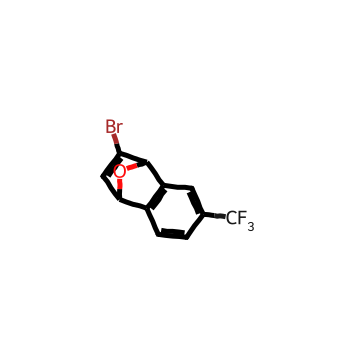 FC(F)(F)c1ccc2c(c1)C1OC2C=C1Br